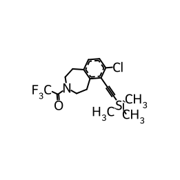 C[Si](C)(C)C#Cc1c(Cl)ccc2c1CCN(C(=O)C(F)(F)F)CC2